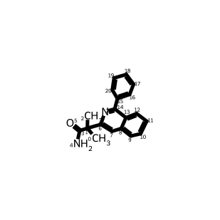 CC(C)(C(N)=O)c1cc2ccccc2c(-c2ccccc2)n1